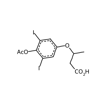 CC(=O)Oc1c(I)cc(OC(C)CC(=O)O)cc1I